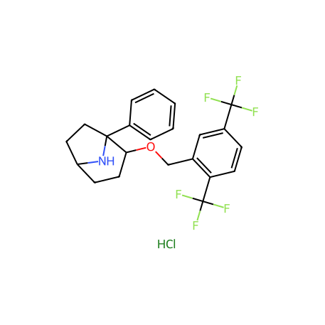 Cl.FC(F)(F)c1ccc(C(F)(F)F)c(COC2CCC3CCC2(c2ccccc2)N3)c1